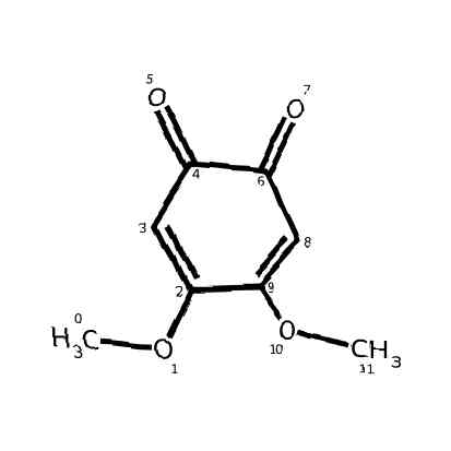 COC1=CC(=O)C(=O)C=C1OC